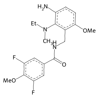 CCN(C)c1c(N)ccc(OC)c1CNC(=O)c1cc(F)c(OC)c(F)c1